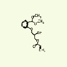 C=CC(=O)OCC(O)COc1ccccc1C(OC)OC